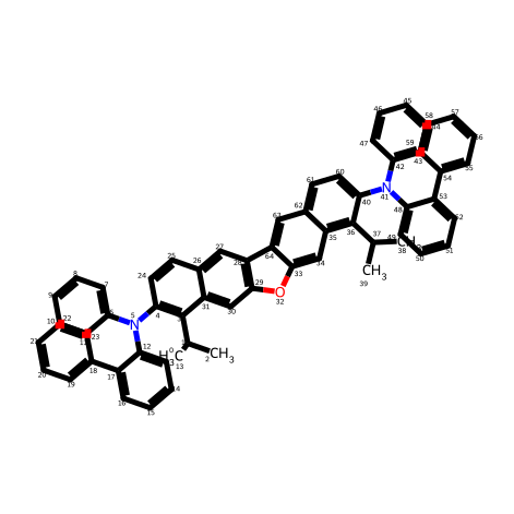 CC(C)c1c(N(C2=CC=CCC2)c2ccccc2-c2ccccc2)ccc2cc3c(cc12)oc1cc2c(C(C)C)c(N(c4ccccc4)c4ccccc4-c4ccccc4)ccc2cc13